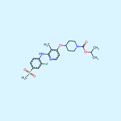 Cc1c(OC2CCN(C(=O)OC(C)C)CC2)ccnc1Nc1ccc(S(C)(=O)=O)cc1F